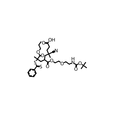 CCCOC(=O)C(C)(CC(CC(C)(C#N)CCC(=O)O)C(=O)OCCOCCNC(=O)OC(C)(C)C)SC(=S)c1ccccc1